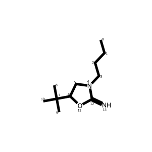 CCCCN1CC(C(C)(C)C)OC1=N